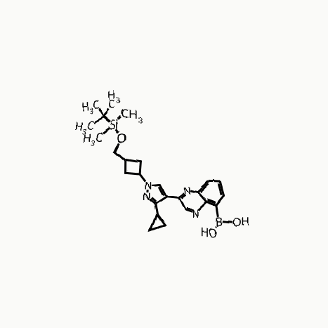 CC(C)(C)[Si](C)(C)OCC1CC(n2cc(-c3cnc4c(B(O)O)cccc4n3)c(C3CC3)n2)C1